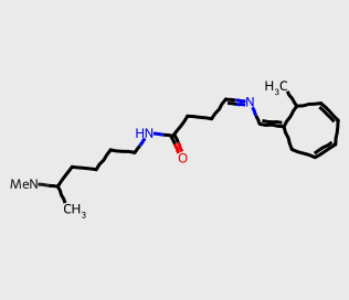 CNC(C)CCCCNC(=O)CC/C=N\C=C1\CC=CC=CC1C